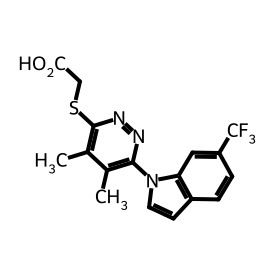 Cc1c(SCC(=O)O)nnc(-n2ccc3ccc(C(F)(F)F)cc32)c1C